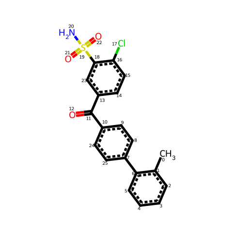 Cc1ccccc1-c1ccc(C(=O)c2ccc(Cl)c(S(N)(=O)=O)c2)cc1